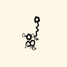 COc1cccc([C@@]23CCN(C)C[C@H]2C(OC)C[C@H](N(C)C(=O)CCCCCc2ccccc2)C3)c1